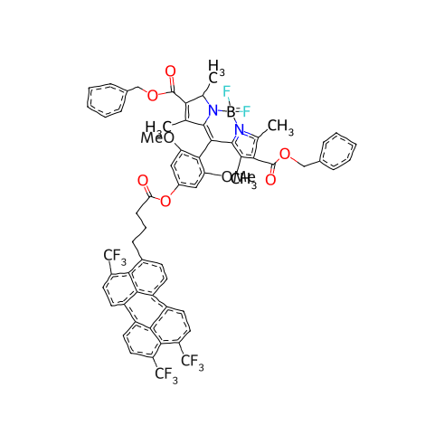 COc1cc(OC(=O)CCCc2ccc3c4ccc(C(F)(F)F)c5c(C(F)(F)F)ccc(c6ccc(C(F)(F)F)c2c36)c54)cc(OC)c1C1=C2C(C)=C(C(=O)OCc3ccccc3)C(C)N2[B-](F)(F)n2c(C)c(C(=O)OCc3ccccc3)c(C)c21